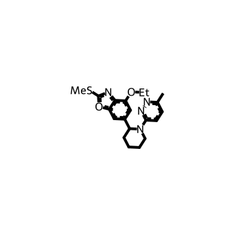 CCOc1cc(C2CCCCN2c2ccc(C)nn2)cc2oc(SC)nc12